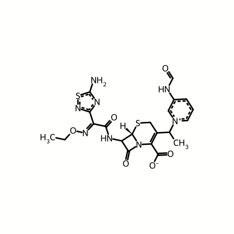 CCON=C(C(=O)NC1C(=O)N2C(C(=O)[O-])=C(C(C)[n+]3cccc(NC=O)c3)CS[C@@H]12)c1nsc(N)n1